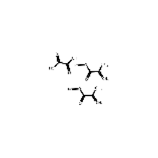 C=C(C)C(=O)OC(C)C.C=C(C)C(=O)OC(C)C.O=C(O)C(=O)O